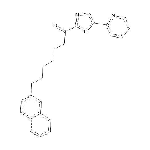 O=C(CCCCCCc1ccc2ccccc2c1)c1ncc(-c2ccccn2)o1